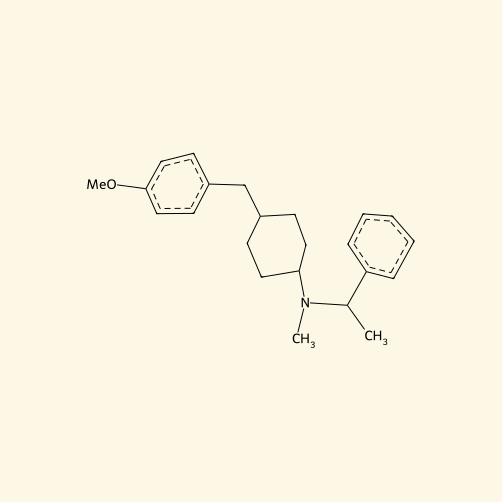 COc1ccc(CC2CCC(N(C)C(C)c3ccccc3)CC2)cc1